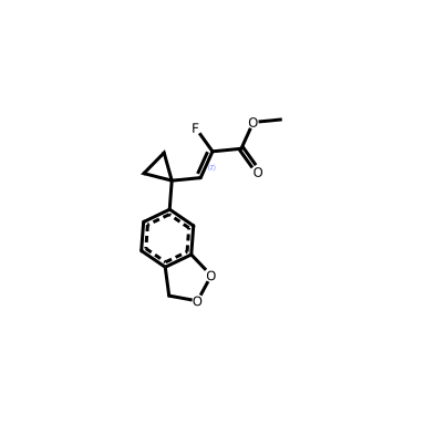 COC(=O)/C(F)=C/C1(c2ccc3c(c2)OOC3)CC1